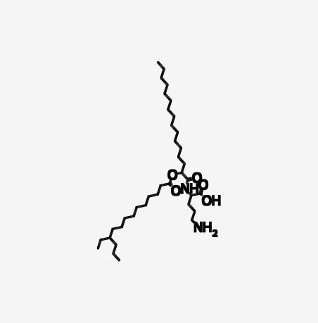 CCCCCCCCCCCCCCC(OC(=O)CCCCCCCCCC(CC)CCC)C(=O)NC(CCCN)C(=O)O